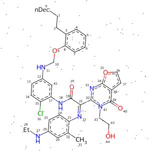 CCCCCCCCCCCCc1ccccc1OCNc1ccc(Cl)c(NC(=O)/C(=N\c2ccc(NCC)cc2C)c2nc3occc3c(=O)n2CCO)c1